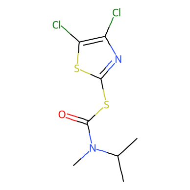 CC(C)N(C)C(=O)Sc1nc(Cl)c(Cl)s1